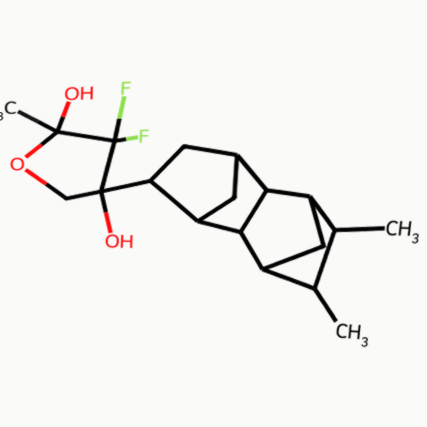 CC1C(C)C2CC1C1C3CC(C21)C(C1(O)COC(O)(C(F)(F)F)C1(F)F)C3